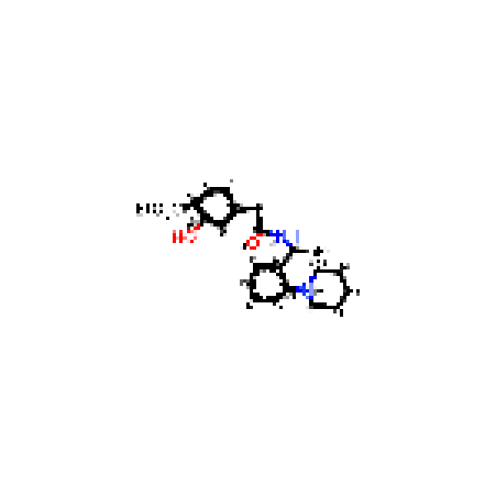 CCCC(NC(=O)Cc1ccc(C(=O)OCC)c(O)c1)c1ccccc1N1CCCCC1